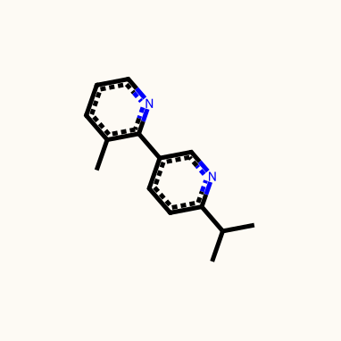 Cc1cccnc1-c1ccc(C(C)C)nc1